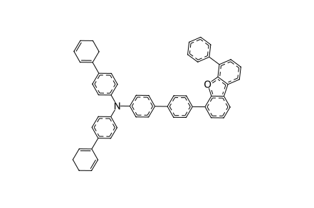 C1=CCCC(c2ccc(N(c3ccc(C4=CCCC=C4)cc3)c3ccc(-c4ccc(-c5cccc6c5oc5c(-c7ccccc7)cccc56)cc4)cc3)cc2)=C1